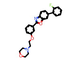 Fc1ccccc1-c1ccc2nc(-c3cccc(OCCN4CCOCC4)c3)oc2c1